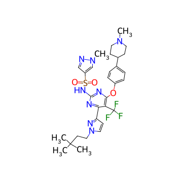 CN1CCC(c2ccc(Oc3nc(NS(=O)(=O)c4cnn(C)c4)nc(-c4ccn(CCC(C)(C)C)n4)c3C(F)(F)F)cc2)CC1